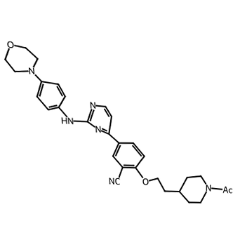 CC(=O)N1CCC(CCOc2ccc(-c3ccnc(Nc4ccc(N5CCOCC5)cc4)n3)cc2C#N)CC1